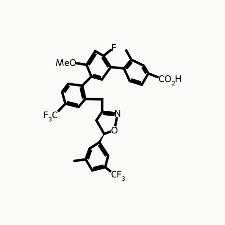 COc1cc(F)c(-c2ccc(C(=O)O)cc2C)cc1-c1ccc(C(F)(F)F)cc1CC1=NO[C@@H](c2cc(C)cc(C(F)(F)F)c2)C1